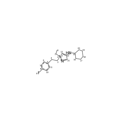 CC[N+]1(CCc2ccc(F)cc2)C=C(NC2CCCCC2)C=N1